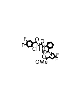 COC(=O)C1CC(F)(F)CN1C(=O)c1ccccc1NC(=O)NC(=O)c1cc(F)c(F)cc1Cl